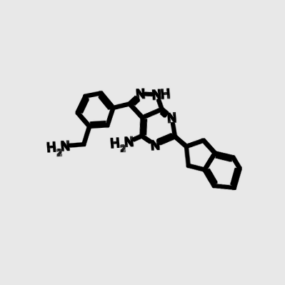 NCc1cccc(-c2n[nH]c3nc(C4Cc5ccccc5C4)nc(N)c23)c1